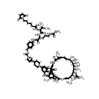 CO[C@H]1/C=C/O[C@@]2(C)Oc3c(C)c(O)c4c(=O)c(c5oc6cc(N7CCC(c8ccn(C(=O)OCc9ccc(NC(=O)[C@H](CCCNC(N)=O)NC(=O)[C@@H](NC(=O)CCCCCN%10C(=O)C=CC%10=O)C(C)C)cc9)n8)CC7)cc(O)c6nc-5c4c3C2=O)NC(=O)/C(C)=C\C=C\[C@H](C)[C@H](O)[C@@H](C)[C@@H](O)[C@@H](C)[C@H](OC(C)=O)[C@@H]1C